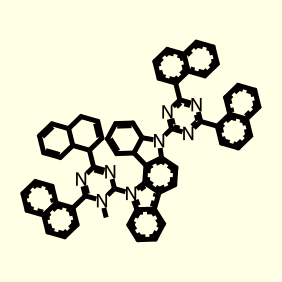 CN1C(c2cccc3ccccc23)=NC(C2C=CCC3C=CC=CC32)=NC1n1c2ccccc2c2ccc3c(c21)C1C=CC=CC1N3c1nc(-c2cccc3ccccc23)nc(-c2cccc3ccccc23)n1